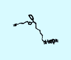 CCCCCCCCCCCCCC(=O)OCCC[S]